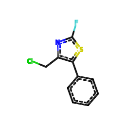 Fc1nc(CCl)c(-c2ccccc2)s1